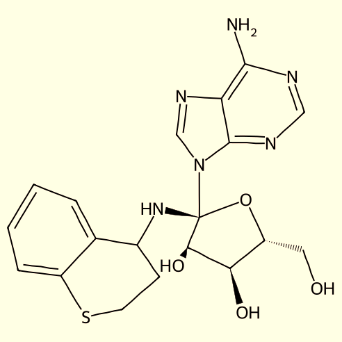 Nc1ncnc2c1ncn2[C@]1(NC2CCSc3ccccc32)O[C@H](CO)[C@@H](O)[C@H]1O